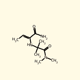 CC=C(NC(C)(C)C(=O)N(C)C)C(N)=O